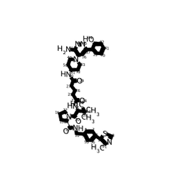 Cc1ncsc1-c1ccc(CNC(=O)[C@@H]2CCCN2C(=O)[C@@H](NC(=O)CCCC(=O)NC2CCN(c3cc(-c4ccccc4O)nnc3N)CC2)C(C)(C)C)cc1